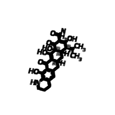 CN(C)[C@@H]1C(O)=C(C(N)=O)C(=O)[C@@]2(O)C(O)=C3C(=O)c4c(cc5c(c4O)NCCC5)C[C@H]3C[C@@H]12